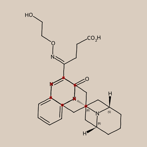 O=C(O)CCC(=NOCCO)c1nc2ccccc2n([C@H]2C[C@H]3CCC[C@@H](C2)N3C2CC3CCCC(C3)C2)c1=O